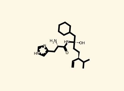 C=C[C@@H](CC[C@](O)(CC1CCCCC1)NC(=O)[C@@H](N)Cc1c[nH]cn1)C(C)C